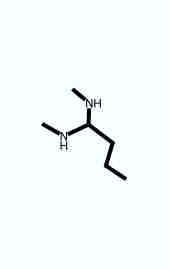 CCCC(NC)NC